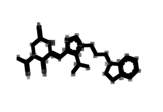 CC(=O)N1CC(=O)NC(=Cc2ncn(CCCN3CCc4ccccc43)c2C(C)C)C1=O